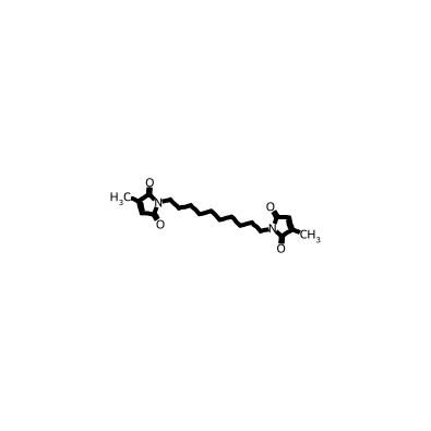 CC1=CC(=O)N(CCCCCCCCCCN2C(=O)C=C(C)C2=O)C1=O